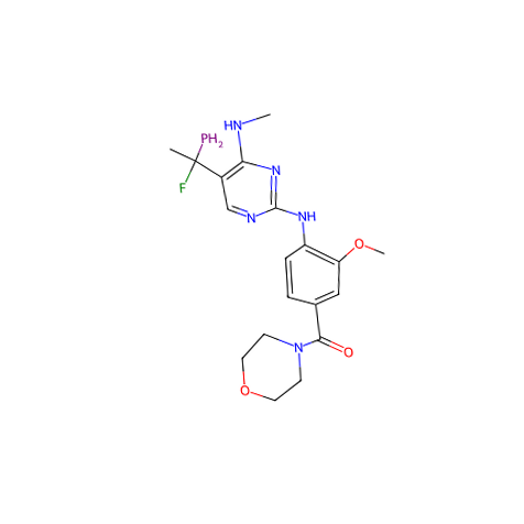 CNc1nc(Nc2ccc(C(=O)N3CCOCC3)cc2OC)ncc1C(C)(F)P